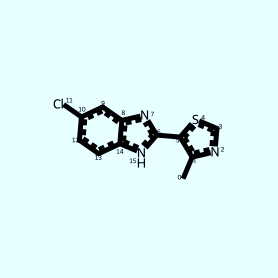 Cc1ncsc1-c1nc2cc(Cl)ccc2[nH]1